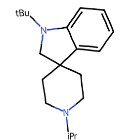 CC(C)N1CCC2(CC1)CN(C(C)(C)C)c1ccccc12